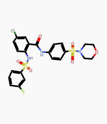 O=C(Nc1ccc(S(=O)(=O)N2CCOCC2)cc1)c1cc(Cl)ccc1NS(=O)(=O)c1cccc(F)c1